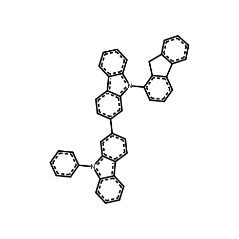 c1ccc(-n2c3ccccc3c3ccc(-c4ccc5c6ccccc6n(-c6cccc7c6Cc6ccccc6-7)c5c4)cc32)cc1